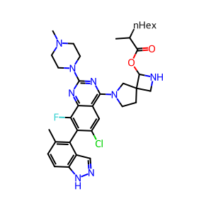 CCCCCCC(C)C(=O)OC1NCC12CCN(c1nc(N3CCN(C)CC3)nc3c(F)c(-c4c(C)ccc5[nH]ncc45)c(Cl)cc13)C2